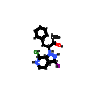 COC(=O)C(Cc1ccccc1)n1nc(I)c2ccnc(Cl)c21